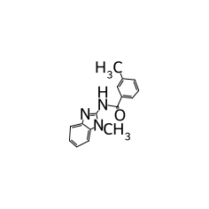 Cc1cccc(C(=O)Nc2nc3ccccc3n2C)c1